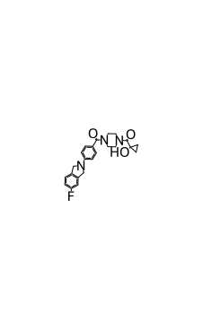 O=C(c1ccc(N2Cc3ccc(F)cc3C2)cc1)N1CCN(C(=O)C2(O)CC2)CC1